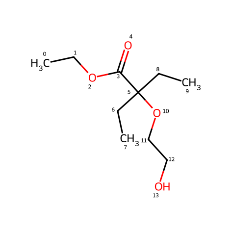 CCOC(=O)C(CC)(CC)OCCO